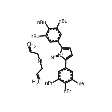 C=C[CH2][Ni][CH2]C=C.CCCCc1cc(C2=CC=C(c3cc(CCC)c(CCC)c(CCC)c3)[N+]2=[N-])cc(CCCC)c1CCCC